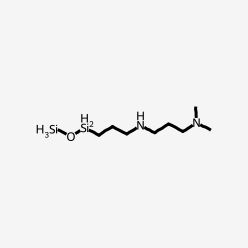 CN(C)CCCNCCC[SiH2]O[SiH3]